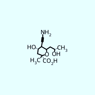 C[C@H](O)CC1O[C@](C)(C(=O)O)C[C@H](O)C1C#CN